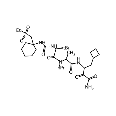 CCCN(C(=O)[C@@H](NC(=O)NC1(CS(=O)(=O)CC)CCCCC1)C(C)(C)C)[C@@H](C)C(=O)NC(CC1CCC1)C(=O)C(N)=O